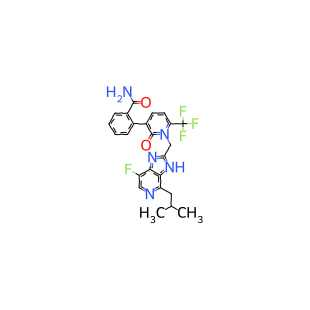 CC(C)Cc1ncc(F)c2nc(Cn3c(C(F)(F)F)ccc(-c4ccccc4C(N)=O)c3=O)[nH]c12